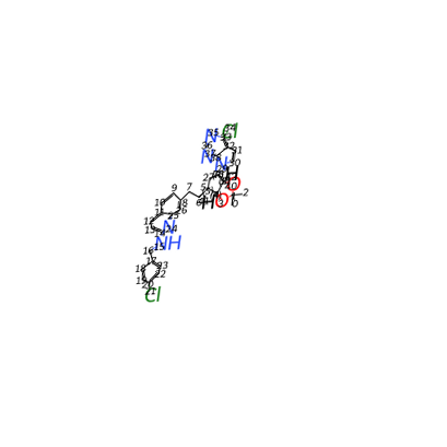 CC1(C)O[C@@H]2[C@@H](CCc3ccc4ccc(NCc5ccc(Cl)cc5)nc4c3)C[C@@H](n3ccc4c(Cl)ncnc43)[C@@H]2O1